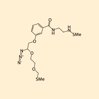 CSCOCCOC(COc1cccc(C(=O)NCCNSC)c1)N=[N+]=[N-]